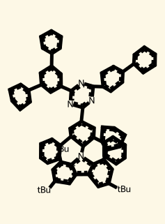 CCC(C)c1cc(C(C)(C)C)cc2c3cc(C(C)(C)C)cc(-c4ccccc4)c3n(-c3c(-c4ccccc4)cc(-c4nc(-c5ccc(-c6ccccc6)cc5)nc(-c5cc(-c6ccccc6)cc(-c6ccccc6)c5)n4)cc3-c3ccccc3)c12